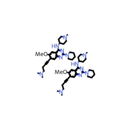 COc1cc2c(NC3CCN(C)CC3)nc(N3CCCCC3)nc2cc1C#CCCN(C)C.COc1cc2c(NC3CCN(C)CC3)nc(N3CCCCC3)nc2cc1C#CCCN(C)C